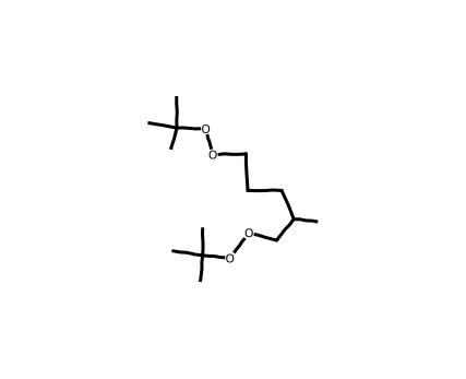 CC(CCCOOC(C)(C)C)COOC(C)(C)C